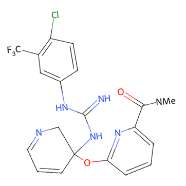 CNC(=O)c1cccc(OC2(NC(=N)Nc3ccc(Cl)c(C(F)(F)F)c3)C=CC=NC2)n1